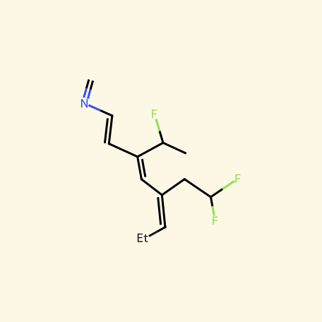 C=N/C=C/C(=C/C(=C\CC)CC(F)F)C(C)F